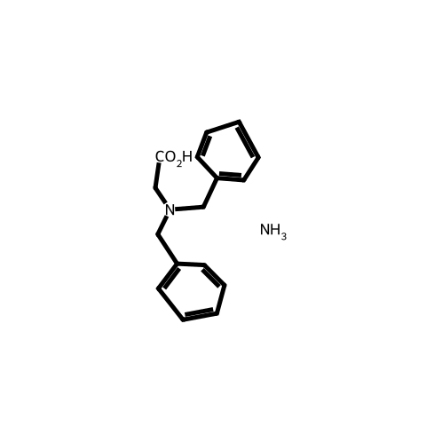 N.O=C(O)CN(Cc1ccccc1)Cc1ccccc1